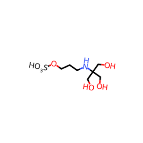 O=S(=O)(O)OCCCNC(CO)(CO)CO